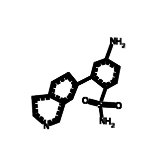 Nc1ccc(S(N)(=O)=O)c(-c2ccc3ccncc3c2)c1